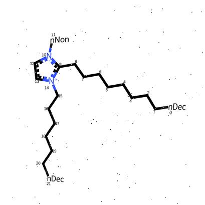 CCCCCCCCCCCCCCCCCCc1n(CCCCCCCCC)cc[n+]1CCCCCCCCCCCCCCCC